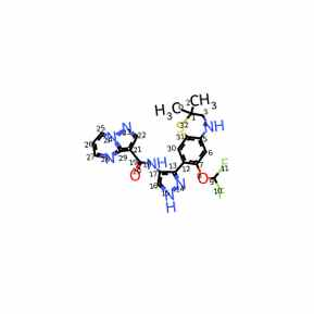 CC1(C)CNc2cc(OC(F)F)c(-c3n[nH]cc3NC(=O)c3cnn4cccnc34)cc2S1